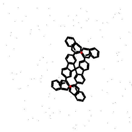 C1=CC(N(c2ccccc2)c2ccc3c(c2)C2(c4cc(N(C5=CCCC=C5)c5ccccc5)ccc4-3)c3cc(N(C4=CCCC=C4)c4ccccc4)ccc3-c3ccc(N(c4ccccc4)c4ccccc4)cc32)=CCC1